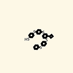 Sc1ccc(Sc2ccc(Sc3ccc(Sc4ccc(Sc5ccccc5)cc4)c(C4CCC4)c3)cc2)cc1